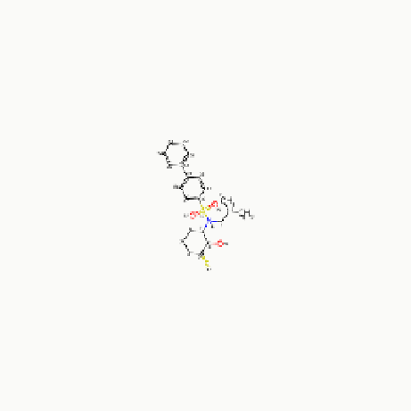 CC(C)CN(C1CCCC(=S)C1=O)S(=O)(=O)c1ccc(-c2ccccc2)cc1